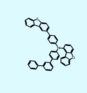 c1ccc(-c2cccc(-c3ccc(N(c4ccc(-c5ccc6sc7ccccc7c6c5)cc4)c4cccc5oc6ccccc6c45)cc3)c2)cc1